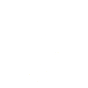 CCCCCCCCCCCCCCCNc1ccc(C(=O)O)c(C(=O)O)c1.[Na].[Na]